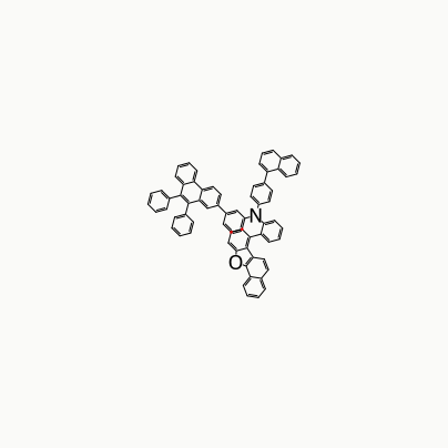 c1ccc(-c2c(-c3ccccc3)c3cc(-c4cccc(N(c5ccc(-c6cccc7ccccc67)cc5)c5ccccc5-c5cccc6oc7c8ccccc8ccc7c56)c4)ccc3c3ccccc23)cc1